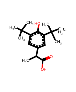 CC(C(=O)O)c1cc(C(C)(C)C)c(O)c(C(C)(C)C)c1.[C]